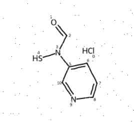 Cl.O=CN(S)c1cccnc1